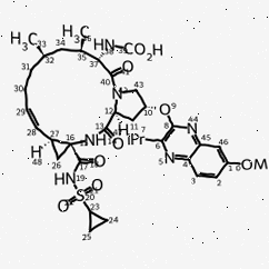 COc1ccc2nc(C(C)C)c(O[C@@H]3C[C@H]4C(=O)N[C@]5(C(=O)NS(=O)(=O)C6CC6)C[C@H]5C=CCC[C@@H](C)C[C@@H](C)[C@H](NC(=O)O)C(=O)N4C3)nc2c1